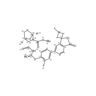 CN1CC2(C1)OC(=O)c1ccc(-c3ccc(C[C@@H](C#N)NC(=O)[C@@H]4[C@H]5CC[C@H](C5)N4C(=O)OC(C)(C)C)c(F)c3)cc12